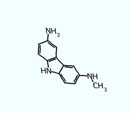 CNc1ccc2[nH]c3ccc(N)cc3c2c1